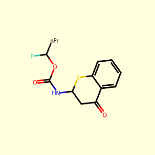 CCCC(F)OC(=O)NC1CC(=O)c2ccccc2S1